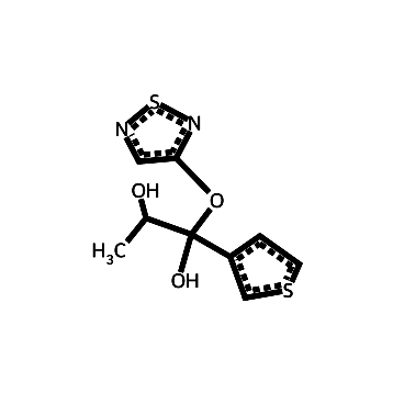 CC(O)C(O)(Oc1cnsn1)c1ccsc1